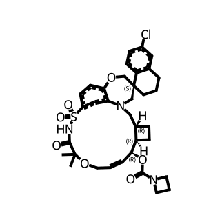 CC1(C)OCC=C[C@H](OC(=O)N2CCC2)[C@@H]2CC[C@H]2CN2C[C@@]3(CCCc4cc(Cl)ccc43)COc3ccc(cc32)S(=O)(=O)NC1=O